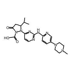 CC(C)C1CC(=O)N(C(=O)O)N1c1ccnc(Nc2ccc(N3CCN(C)CC3)cn2)n1